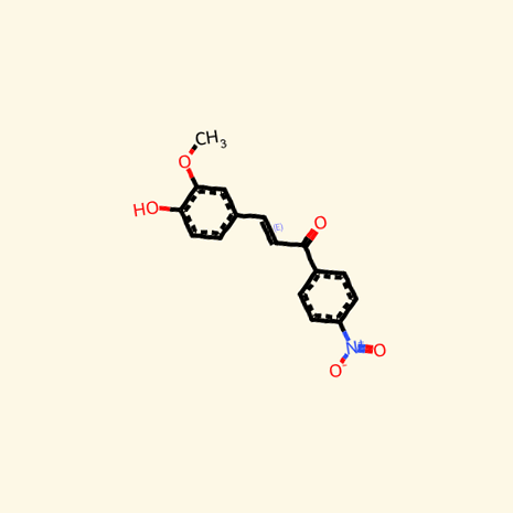 COc1cc(/C=C/C(=O)c2ccc([N+](=O)[O-])cc2)ccc1O